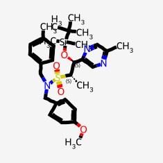 COc1ccc(CN(Cc2ccc(C)cc2)S(=O)(=O)[C@@H](C)[C@@H](O[Si](C)(C)C(C)(C)C)c2cnc(C)cn2)cc1